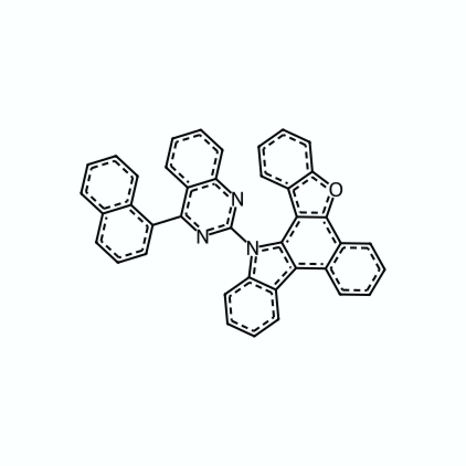 c1ccc2c(-c3nc(-n4c5ccccc5c5c6ccccc6c6oc7ccccc7c6c54)nc4ccccc34)cccc2c1